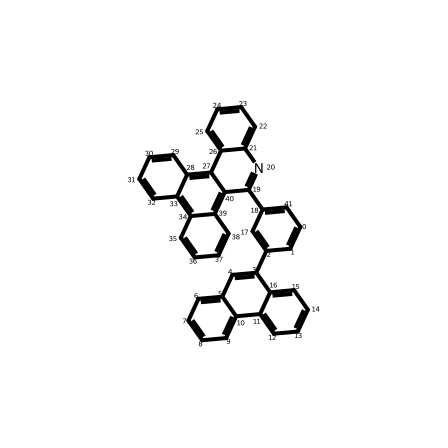 c1cc(-c2cc3ccccc3c3ccccc23)cc(-c2nc3ccccc3c3c4ccccc4c4ccccc4c23)c1